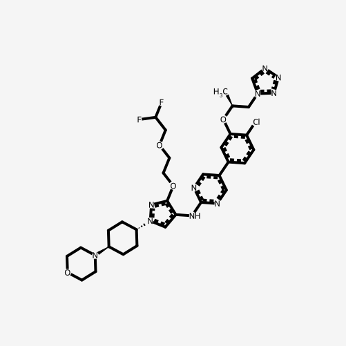 C[C@@H](Cn1cnnn1)Oc1cc(-c2cnc(Nc3cn([C@H]4CC[C@H](N5CCOCC5)CC4)nc3OCCOCC(F)F)nc2)ccc1Cl